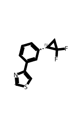 FC1(F)C[C@H]1c1cccc(-c2cs[c]n2)c1